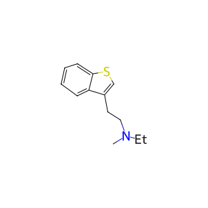 CCN(C)CCc1csc2ccccc12